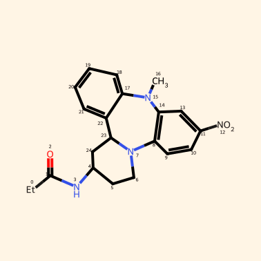 CCC(=O)NC1CCN2c3ccc([N+](=O)[O-])cc3N(C)c3ccccc3C2C1